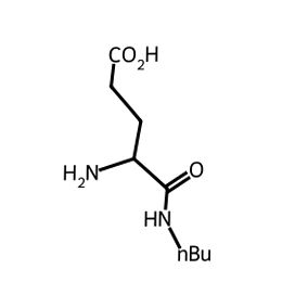 CCCCNC(=O)C(N)CCC(=O)O